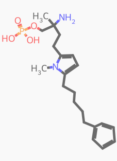 Cn1c(CCCCCc2ccccc2)ccc1CCC(C)(N)COP(=O)(O)O